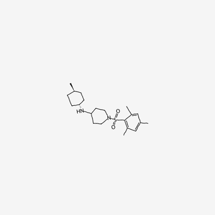 Cc1cc(C)c(S(=O)(=O)N2CCC(N[C@H]3CC[C@H](C)CC3)CC2)c(C)c1